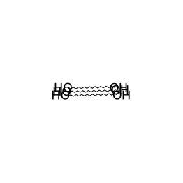 OCCCCCCCCCCCCCCCCCCO.OCCCCCCCCCCCCCCCCCO.OCCCCCCCCCCCCCCCCO